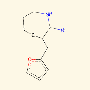 [N]C1NCCCCC1Cc1ccco1